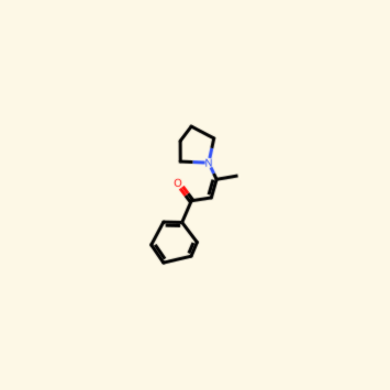 CC(=CC(=O)c1ccccc1)N1CCCC1